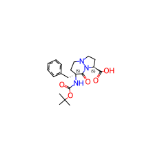 CC(C)(C)OC(=O)N[C@@]1(Cc2ccccc2)CCN2CC[C@@H](C(=O)O)N2C1=O